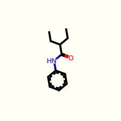 CCC(CC)C(=O)Nc1cc[c]cc1